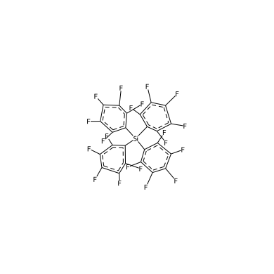 Fc1c(F)c(F)c([Si](c2c(F)c(F)c(F)c(F)c2F)(c2c(F)c(F)c(F)c(F)c2F)c2c(F)c(F)c(F)c(F)c2F)c(F)c1F